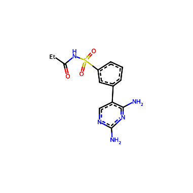 CCC(=O)NS(=O)(=O)c1cccc(-c2cnc(N)nc2N)c1